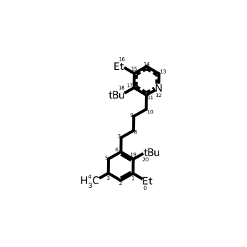 CCC1=CC(C)CC(CCCCc2nccc(CC)c2C(C)(C)C)=C1C(C)(C)C